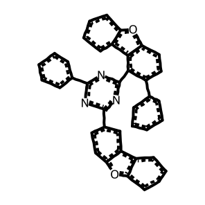 c1ccc(-c2nc(-c3ccc4oc5ccccc5c4c3)nc(-c3c(-c4ccccc4)ccc4oc5ccccc5c34)n2)cc1